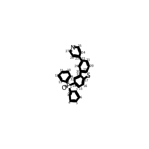 O=P(c1ccccc1)(c1ccccc1)c1ccc2sc3ccc(-c4ccncc4)cc3c2c1